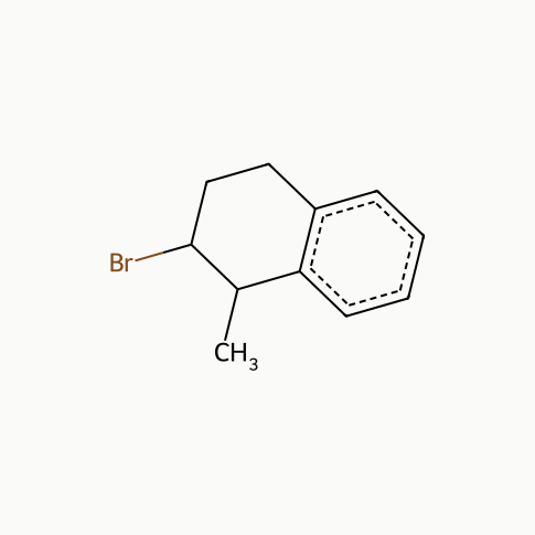 CC1c2ccccc2CCC1Br